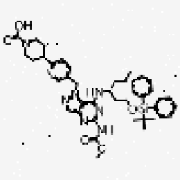 CCC[C@@H](CCO[Si](c1ccccc1)(c1ccccc1)C(C)(C)C)Nc1nc(NC(=O)OC)nc2cnn(Cc3ccc(C4CCN(C(=O)O)CC4)nc3)c12